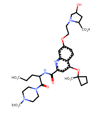 CCOC(=O)N1CCN(C(=O)C(CCC(=O)O)NC(=O)c2cc(OC3(C(=O)O)CCC3)c3ccc(OCCN4CC(O)CC4C(=O)O)cc3n2)CC1